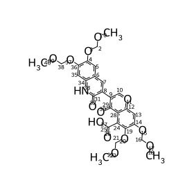 COCOc1cc2cc(-c3coc4cc(OCOC)c(OCOC)c(C(=O)O)c4c3=O)c(=O)[nH]c2cc1OCOC